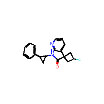 O=C(NC1CC1c1ccccc1)C1(c2cccnc2)CC(F)C1